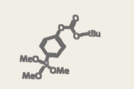 CO[Si](OC)(OC)c1ccc(OC(=O)OC(C)(C)C)cc1